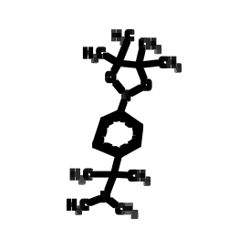 CN(C)C(C)(C)c1ccc(B2OC(C)(C)C(C)(C)O2)cc1